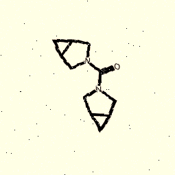 O=C(N1CC2CC2C1)N1CC2CC2C1